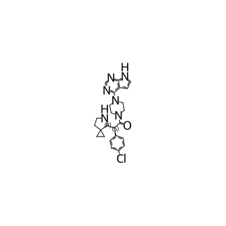 O=C([C@@H](c1ccc(Cl)cc1)[C@H]1NCCC12CC2)N1CCN(c2ncnc3[nH]ccc23)CC1